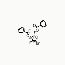 O=C(OC[C@H]1O[C@H](Br)[C@@H](F)[C@@H]1OC(=O)c1ccccc1)c1ccccc1